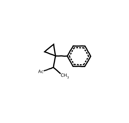 CC(=O)C(C)C1(c2ccccc2)CC1